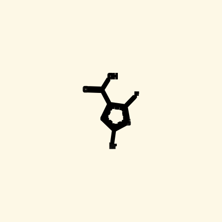 O=C(O)c1cc(Br)sc1F